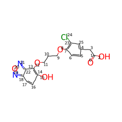 O=C(O)Cc1ccc(OCCCOc2c(O)ccc3nonc23)c(Cl)c1